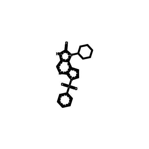 O=c1[nH]c2cnc3c(ccn3S(=O)(=O)c3ccccc3)c2n1C1CCCCC1